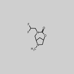 CN1CC2CC1CN(CC(F)F)C(=O)O2